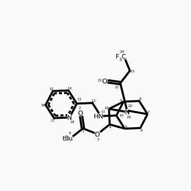 CC(C)(C)C(=O)OC1C2CC3CC(C2NCc2ccccn2)C1N(C(=O)CC(F)(F)F)C3